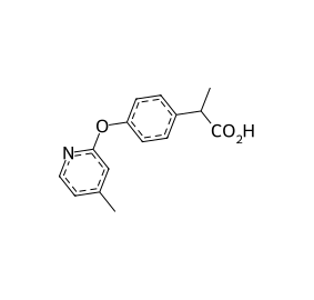 Cc1ccnc(Oc2ccc(C(C)C(=O)O)cc2)c1